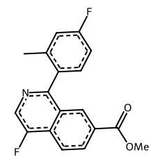 COC(=O)c1ccc2c(F)cnc(-c3ccc(F)cc3C)c2c1